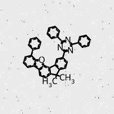 CC1(C)c2ccc(-c3nc(-c4ccccc4)nc(-c4ccccc4)n3)cc2-c2c1ccc1c2oc2c(-c3ccccc3)cccc21